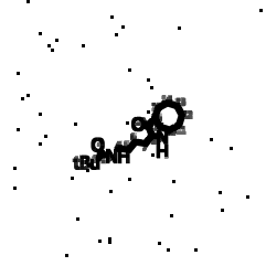 CC(C)(C)C(=O)NCCCCC1NC2CCCCCC(C2)C1=O